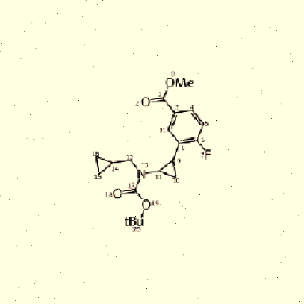 COC(=O)c1ccc(F)c(C2CC2N(CC2CC2)C(=O)OC(C)(C)C)c1